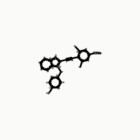 COc1cc(C)c(C#Cc2nc3ccccc3n2Cc2ccc(F)cc2)c(C)c1